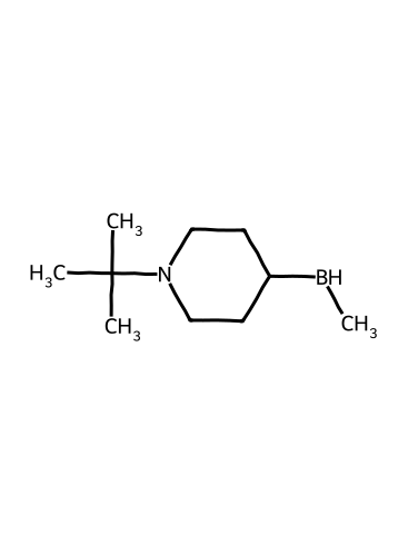 CBC1CCN(C(C)(C)C)CC1